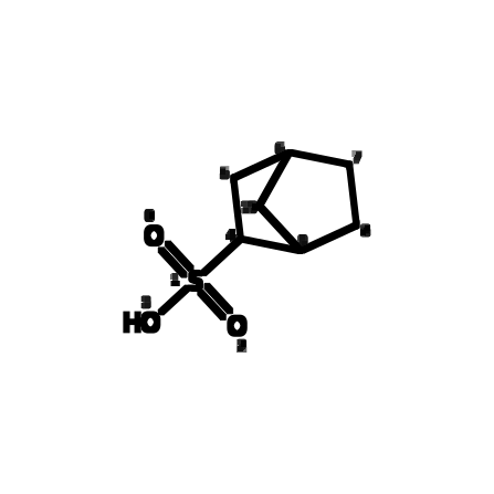 O=S(=O)(O)C1CC2CCC1C2